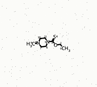 CCOC(=S)N1CCN(C)CC1